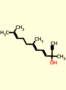 C#CC(C)(O)/C=C/C=C(\C)CCC=C(C)C